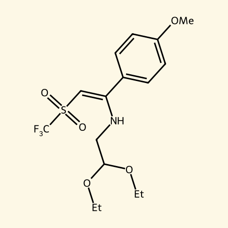 CCOC(CNC(=CS(=O)(=O)C(F)(F)F)c1ccc(OC)cc1)OCC